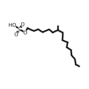 CCCCCCCCCC(C)CCCCCCOS(=O)(=O)O